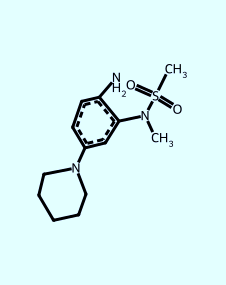 CN(c1cc(N2CCCCC2)ccc1N)S(C)(=O)=O